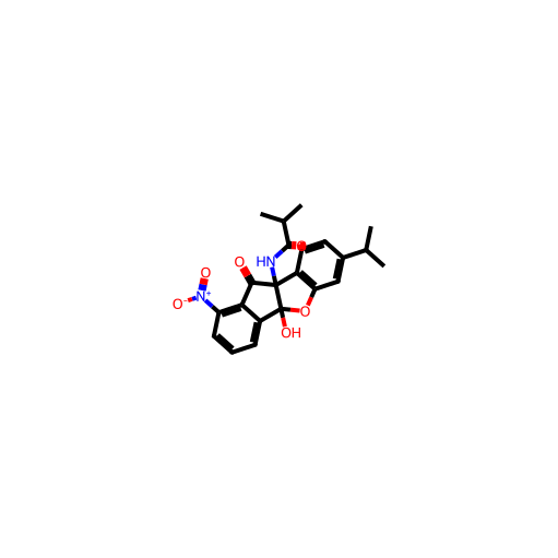 CC(C)C(=O)NC12C(=O)c3c([N+](=O)[O-])cccc3C1(O)Oc1cc(C(C)C)ccc12